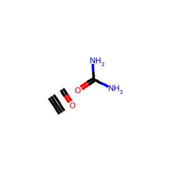 C#C.C=O.NC(N)=O